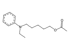 CCN(CCCCCOC(C)=O)c1ccccc1